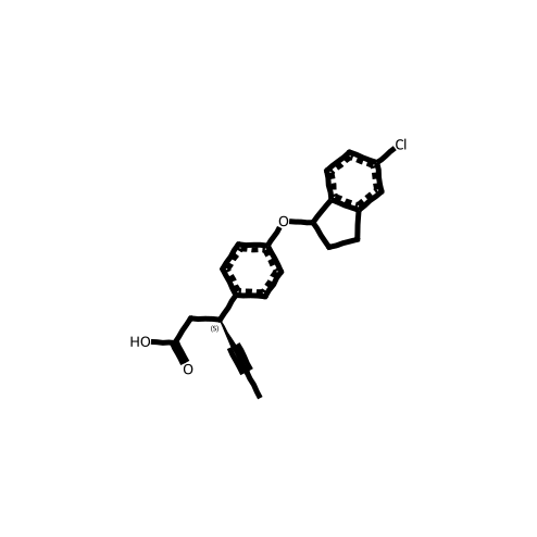 CC#C[C@@H](CC(=O)O)c1ccc(OC2CCc3cc(Cl)ccc32)cc1